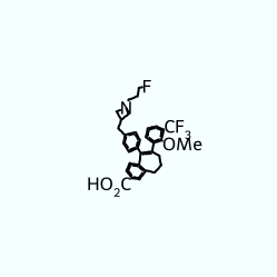 COc1c(C2=C(c3ccc(CC4CN(CCCF)C4)cc3)c3ccc(C(=O)O)cc3CCC2)cccc1C(F)(F)F